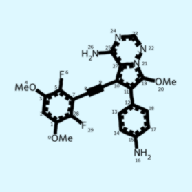 COc1cc(OC)c(F)c(C#Cc2c(-c3ccc(N)cc3)c(OC)n3ncnc(N)c23)c1F